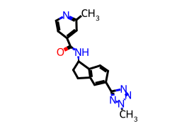 Cc1cc(C(=O)N[C@@H]2CCc3cc(-c4nnn(C)n4)ccc32)ccn1